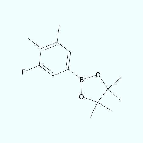 Cc1cc(B2OC(C)(C)C(C)(C)O2)cc(F)c1C